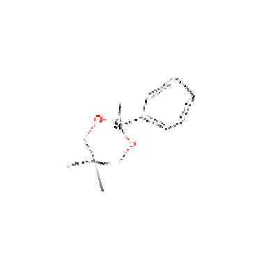 CC1(C)CO[Si](C)(c2ccccc2)OC1